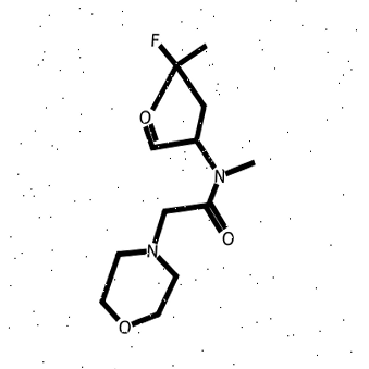 CN(C(=O)CN1CCOCC1)C(C=O)CC(C)(C)F